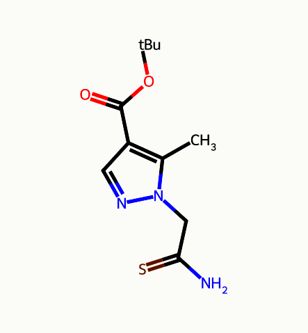 Cc1c(C(=O)OC(C)(C)C)cnn1CC(N)=S